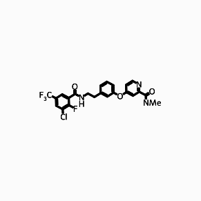 CNC(=O)c1cc(Oc2cccc(CCNC(=O)c3cc(C(F)(F)F)cc(Cl)c3F)c2)ccn1